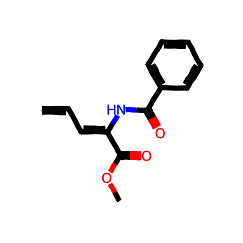 C=C/C=C(\NC(=O)c1ccccc1)C(=O)OC